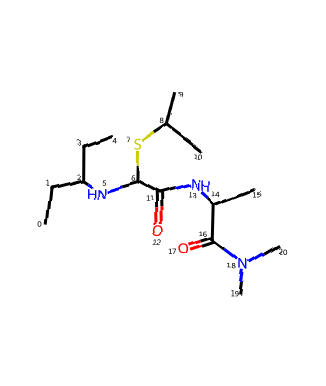 CCC(CC)NC(SC(C)C)C(=O)NC(C)C(=O)N(C)C